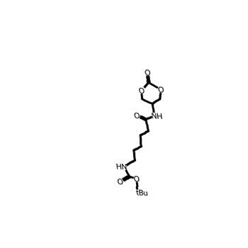 CC(C)(C)OC(=O)NCCCCCC(=O)NC1COC(=O)OC1